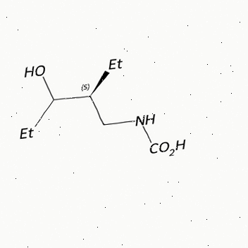 CCC(O)[C@@H](CC)CNC(=O)O